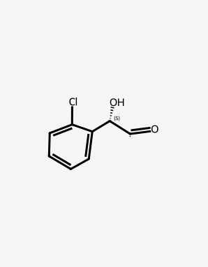 O=[C][C@@H](O)c1ccccc1Cl